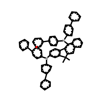 CC1(C)c2cc(N(c3ccc(-c4ccccc4)cc3)c3ccc(-c4ccccc4)cc3)ccc2-c2c1cc1ccccc1c2N(c1ccc(-c2ccccc2)cc1)c1ccc(-c2ccccc2)cc1